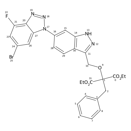 CCOC(=O)C(Cc1ccccc1)(OCc1n[nH]c2cc(-n3nnc4c(F)cc(Br)cc43)ccc12)C(=O)OCC